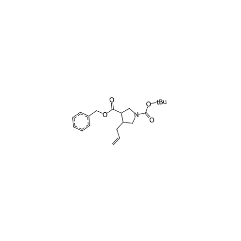 C=CCC1CN(C(=O)OC(C)(C)C)CC1C(=O)OCc1ccccc1